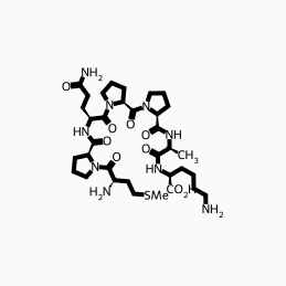 CSCC[C@H](N)C(=O)N1CCC[C@H]1C(=O)N[C@@H](CCC(N)=O)C(=O)N1CCC[C@H]1C(=O)N1CCC[C@H]1C(=O)N[C@@H](C)C(=O)N[C@@H](CCCCN)C(=O)O